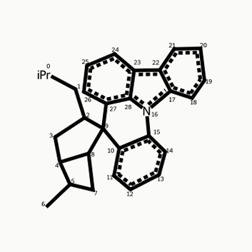 CC(C)CC1CC2C(C)CC2C12c1ccccc1-n1c3ccccc3c3cccc2c31